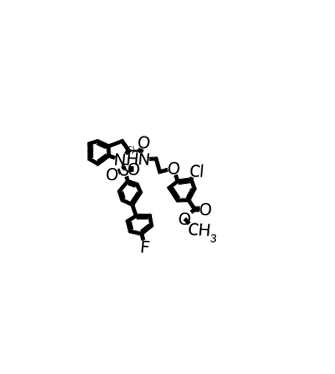 COC(=O)c1ccc(OCCNC(=O)[C@@H]2Cc3ccccc3N2S(=O)(=O)c2ccc(-c3ccc(F)cc3)cc2)c(Cl)c1